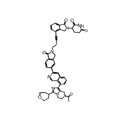 CC(=O)N1CCn2c(C3CCOCC3)nc(-c3cccc4cc(-c5ccc6c(c5)CN(CCC#Cc5cccc7c5CN(C5CCC(=O)NC5=O)C7=O)C6=O)ncc34)c2C1